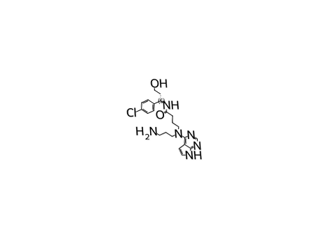 NCCCN(CCCC(=O)N[C@@H](CCO)c1ccc(Cl)cc1)c1ncnc2[nH]ccc12